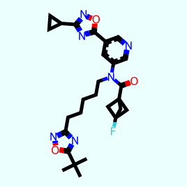 CC(C)(C)c1nc(CCCCCN(C(=O)C23CC(F)(C2)C3)c2cncc(-c3nc(C4CC4)no3)c2)no1